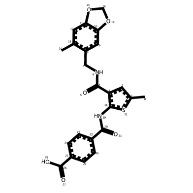 Cc1cc(C(=O)NCc2cc3c(cc2C)OCO3)c(NC(=O)c2ccc(C(=O)O)cc2)s1